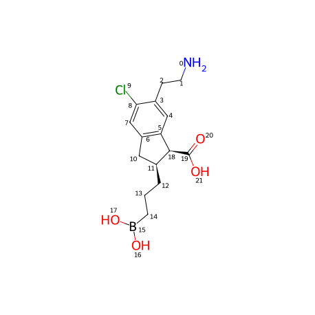 NCCc1cc2c(cc1Cl)C[C@H](CCCB(O)O)[C@@H]2C(=O)O